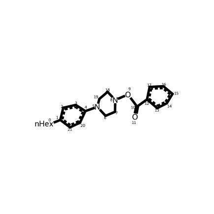 CCCCCCc1ccc(N2CCN(OC(=O)c3ccccc3)CC2)cc1